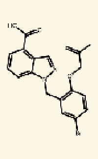 C=C(C)COc1ccc(Br)cc1Cn1ncc2c(C(=O)O)cccc21